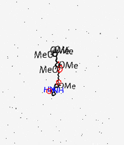 COc1cc(C2NC(=O)c3ccccc3N2)ccc1OCCCCCCCOc1c(OC)cc(C=Cc2cc(OC)c(OC)c(OC)c2)cc1OC